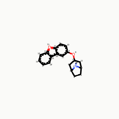 CN1C2CCC1CC(Oc1ccc3oc4ccccc4c3c1)C2